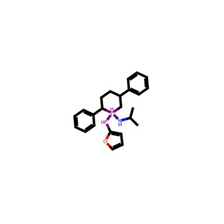 CC(C)N[PH]1(Pc2ccco2)CC(c2ccccc2)CCC1c1ccccc1